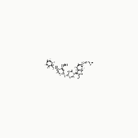 CCOc1cc(CN2CCC(n3c(C)nc4cc(OC(=O)O)ccc43)CC2)ccc1OCc1ccccc1